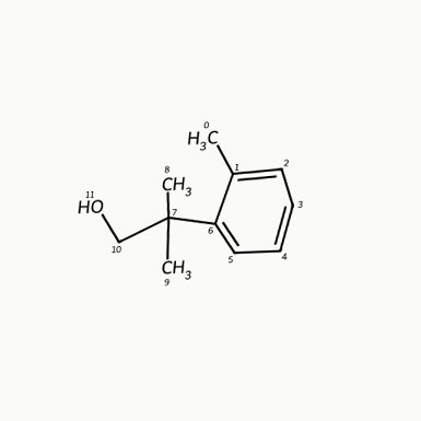 Cc1ccccc1C(C)(C)CO